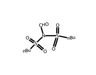 CCCCS(=O)(=O)N(C=O)S(=O)(=O)CCCC